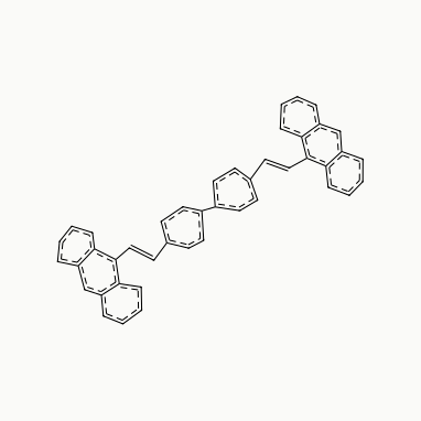 C(=Cc1c2ccccc2cc2ccccc12)c1ccc(-c2ccc(C=Cc3c4ccccc4cc4ccccc34)cc2)cc1